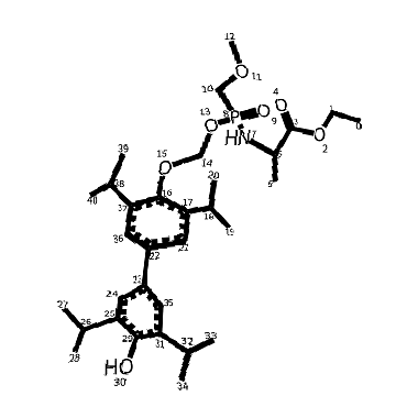 CCOC(=O)C(C)NP(=O)(COC)OCOc1c(C(C)C)cc(-c2cc(C(C)C)c(O)c(C(C)C)c2)cc1C(C)C